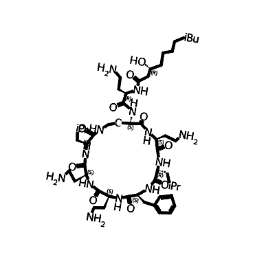 CCC(C)CCCC[C@@H](O)CC(=O)N[C@H](CCN)C(=O)N[C@H]1CCNC(=O)[C@H](CC(C)C)NC(=O)[C@H](CCN)NC(=O)[C@H](CCN)NC(=O)[C@H](Cc2ccccc2)NC(=O)[C@@H](CC(C)C)NC(=O)[C@H](CCN)NC1=O